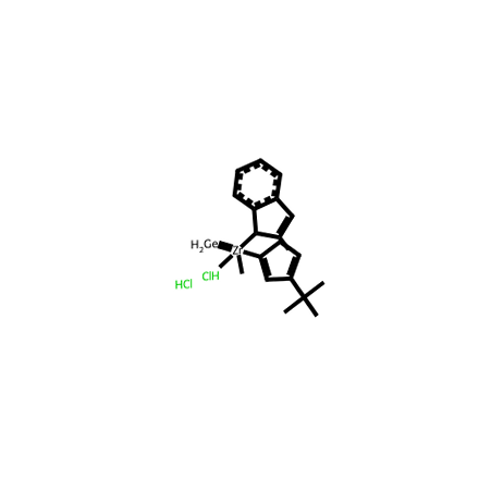 CC1=Cc2ccccc2[CH]1[Zr]([CH3])([CH3])(=[GeH2])[C]1=CC(C(C)(C)C)=CC1.Cl.Cl